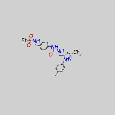 CCS(=O)(=O)NCc1ccc(NC(=O)NCc2cc(C(F)(F)F)nn2-c2ccc(C)cc2)cc1